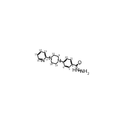 NNC(=O)c1ccc(N2CCN(c3ccccn3)CC2)cc1